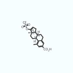 Cc1cc(C(=O)O)cc2c1[C@H]1CC[C@]3(C)C(OS(=O)(=O)C(F)(F)F)=CC[C@H]3[C@@H]1CC2